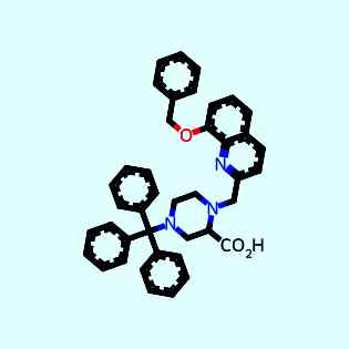 O=C(O)C1CN(C(c2ccccc2)(c2ccccc2)c2ccccc2)CCN1Cc1ccc2cccc(OCc3ccccc3)c2n1